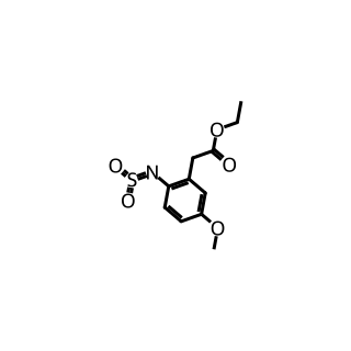 CCOC(=O)Cc1cc(OC)ccc1N=S(=O)=O